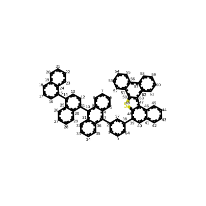 c1cc(-c2c3ccccc3c(-c3ccc(-c4cccc5ccccc45)c4ccccc34)c3ccccc23)cc(-c2cc3ccccc3c3c2sc2c4ccccc4c4ccccc4c23)c1